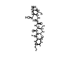 CCn1ccc(=O)c(N(C)N2CCC(C)=C(CC(=O)NCc3c(C)cc(N)nc3CO)C2=O)c1